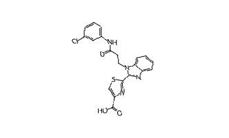 O=C(CCn1c(-c2nc(C(=O)O)cs2)nc2ccccc21)Nc1cccc(Cl)c1